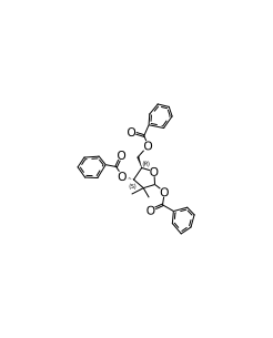 CC1(C)C(OC(=O)c2ccccc2)O[C@H](COC(=O)c2ccccc2)[C@H]1OC(=O)c1ccccc1